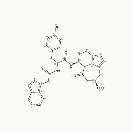 O=C(Cc1csc2ccccc12)NC(Cc1ccc(O)cc1)C(=O)N[C@H]1CCc2ccn3c2C1C(=O)C[C@H](C(=O)O)C3